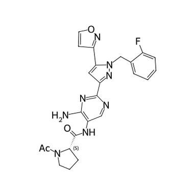 CC(=O)N1CCC[C@H]1C(=O)Nc1cnc(-c2cc(-c3ccon3)n(Cc3ccccc3F)n2)nc1N